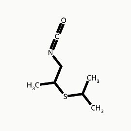 CC(C)SC(C)CN=C=O